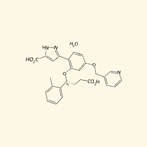 Cc1ccccc1[C@@H](CCC(=O)O)Oc1cc(OCc2cccnc2)ccc1-c1cc(C(=O)O)[nH]n1.O